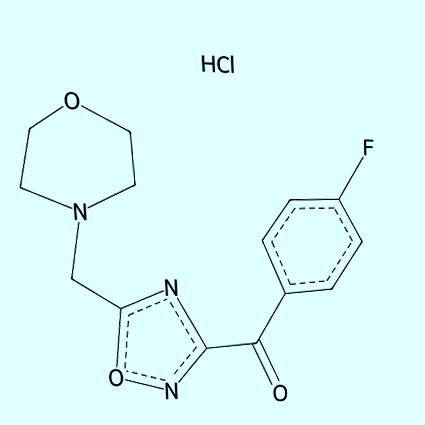 Cl.O=C(c1ccc(F)cc1)c1noc(CN2CCOCC2)n1